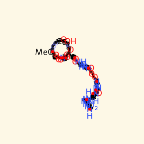 CO[C@H]1CC2CCCC(O2)C(=O)C(=O)N2CCCC[C@H]2C(=O)O[C@H](CC[C@H]2CC[C@H](OC(=O)NCc3cnc(N4CCN(C(=O)CCOCCOCCN5CCN(c6ncc(C(=O)N7CCc8cc(CNc9ncnc(N)c9C(=N)c9cnc%10[nH]ccc%10c9)ccc8C7)cn6)CC5)CC4)nc3)CC2)CC(=O)[C@H](C)/C=C(\C)[C@@H](O)CC(=O)[C@H](C)C[C@H](C)/C=C/C=C/C=C/1C